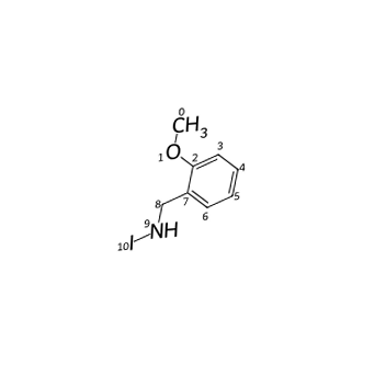 COc1ccccc1CNI